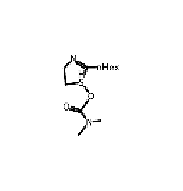 CCCCCCC1=NCC[SH]1OC(=O)N(C)C